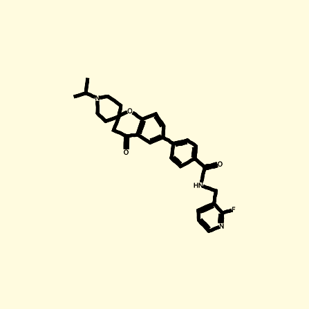 CC(C)N1CCC2(CC1)CC(=O)c1cc(-c3ccc(C(=O)NCc4cccnc4F)cc3)ccc1O2